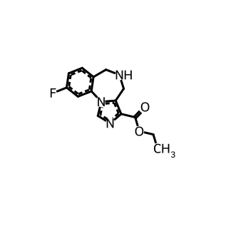 CCOC(=O)c1ncn2c1CNCc1ccc(F)cc1-2